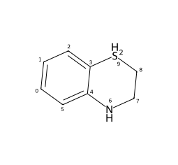 c1ccc2c(c1)NCC[SH2]2